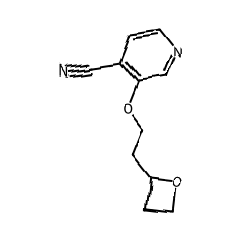 N#Cc1ccncc1OCCC1CCO1